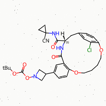 CC(C)(C)OC(=O)ON1CC(c2ccc3c(c2)C(=O)N[C@H](C(=O)NC2(C#N)CC2)Cc2ccc(c(Cl)c2)OCCCCO3)C1